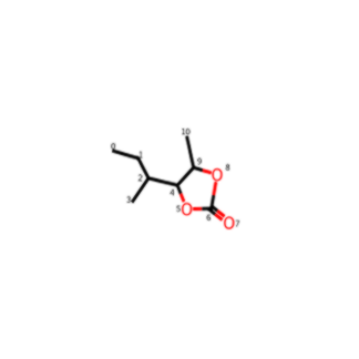 CCC(C)C1OC(=O)OC1C